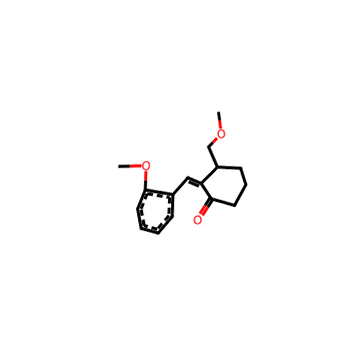 COCC1CCCC(=O)/C1=C\c1ccccc1OC